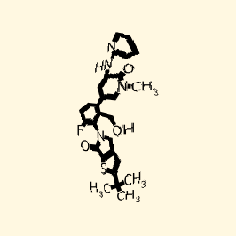 Cn1cc(-c2ccc(F)c(N3Cc4cc(C(C)(C)C)sc4C3=O)c2CO)cc(Nc2ccccn2)c1=O